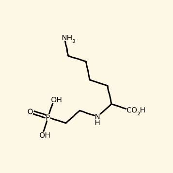 NCCCCC(NCCP(=O)(O)O)C(=O)O